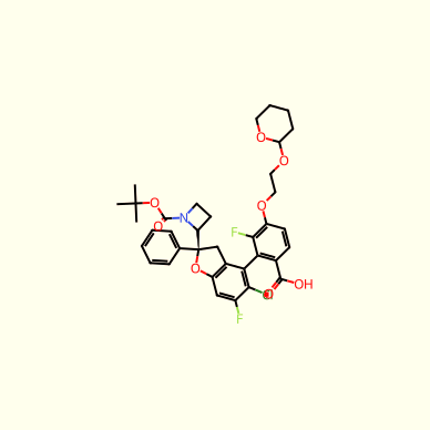 CC(C)(C)OC(=O)N1CCC1[C@@]1(c2ccccc2)Cc2c(cc(F)c(Cl)c2-c2c(C(=O)O)ccc(OCCOC3CCCCO3)c2F)O1